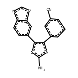 N#Cc1cccc(-c2nc(N)sc2-c2ccc3ncoc3c2)c1